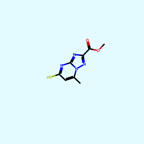 COC(=O)c1nc2nc(S)cc(C)n2n1